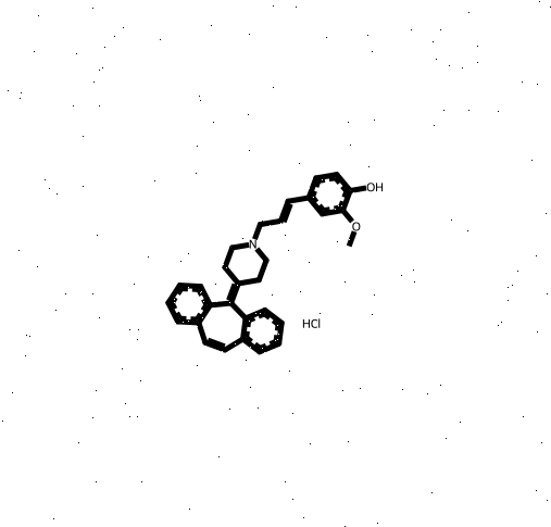 COc1cc(C=CCN2CCC(=C3c4ccccc4C=Cc4ccccc43)CC2)ccc1O.Cl